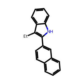 CCc1c(-c2ccc3ccccc3c2)[nH]c2ccccc12